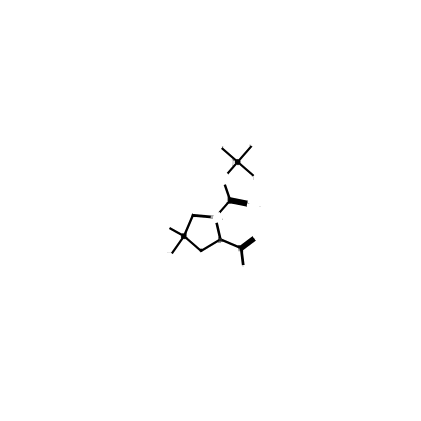 CC1(O)CC(C(=O)O)N(C(=O)OC(C)(C)C)C1